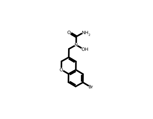 NC(=O)N(O)CC1=Cc2cc(Br)ccc2OC1